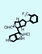 Cl.O=CN1C[C@@H]2C[C@@H](c3ccccc3C(F)(F)F)C[C@@H]2C1c1n[nH]c2c1CNC2